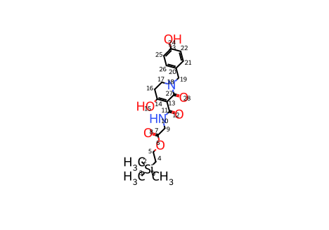 C[Si](C)(C)CCOC(=O)CNC(=O)C1=C(O)CCN(Cc2ccc(O)cc2)C1=O